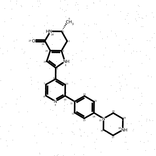 C[C@@H]1Cc2[nH]c(-c3ccnc(-c4ccc(N5CCNCC5)cc4)c3)cc2C(=O)N1